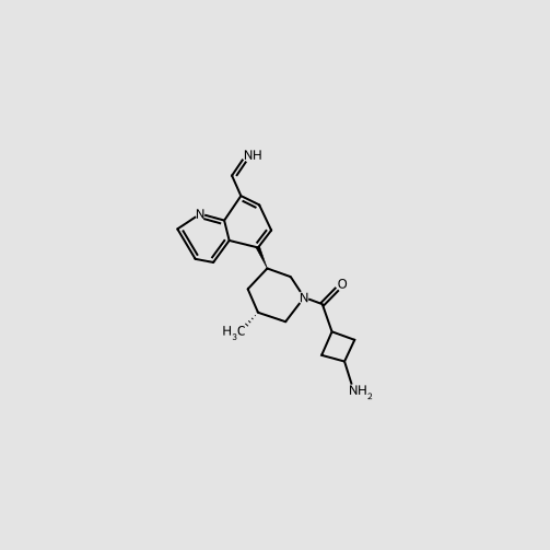 C[C@@H]1C[C@@H](c2ccc(C=N)c3ncccc23)CN(C(=O)C2CC(N)C2)C1